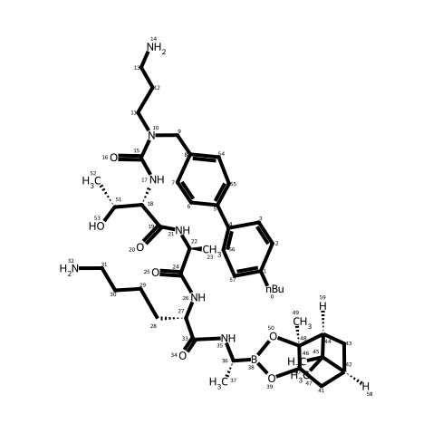 CCCCc1ccc(-c2ccc(CN(CCCN)C(=O)N[C@H](C(=O)N[C@@H](C)C(=O)N[C@@H](CCCCN)C(=O)N[C@@H](C)B3OC4C[C@@H]5C[C@@H](C5(C)C)[C@]4(C)O3)[C@@H](C)O)cc2)cc1